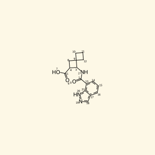 O=C(NC1C(C(=O)O)CC12CCC2)c1cccc2cn[nH]c12